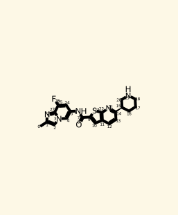 Cc1cn2cc(NC(=O)c3cc4ccc([C@@H]5CCCNC5)nc4s3)cc(F)c2n1